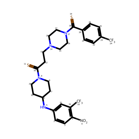 O=[N+]([O-])c1ccc(NC2CCN(C(=S)CCN3CCN(C(=S)c4ccc(C(F)(F)F)cc4)CC3)CC2)cc1C(F)(F)F